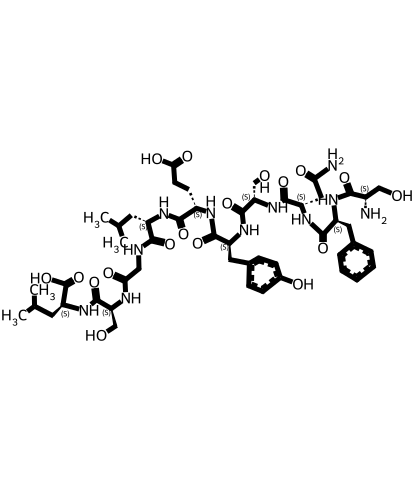 CC(C)C[C@H](NC(=O)[C@H](CO)NC(=O)CNC(=O)[C@H](CC(C)C)NC(=O)[C@H](CCC(=O)O)NC(=O)[C@H](Cc1ccc(O)cc1)NC(=O)[C@H](CO)NC(=O)[C@H](CC(N)=O)NC(=O)[C@H](Cc1ccccc1)NC(=O)[C@@H](N)CO)C(=O)O